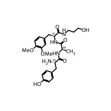 COc1ccc(C[C@H](NC(=O)[C@@H](C)NC(=O)[C@@H](N)Cc2ccc(O)cc2)C(=O)NCCCO)cc1OC